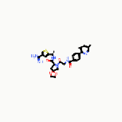 Cc1cnc(-c2ccc(C(=O)NCC(=O)N3CC4(CC3C(=O)N[C@H](C)c3cc(C(=N)N)cs3)OCCO4)cc2)c(C)c1